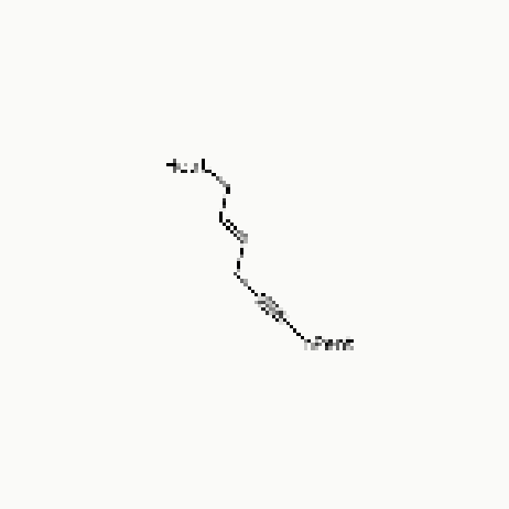 [CH2]CCCCCCCC=CCC#CCCCCC